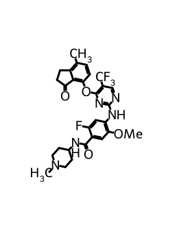 COc1cc(C(=O)NC2CCN(C)CC2)c(F)cc1Nc1ncc(C(F)(F)F)c(Oc2ccc(C)c3c2C(=O)CC3)n1